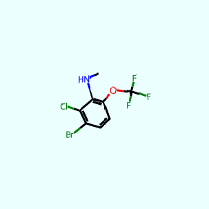 CNc1c(OC(F)(F)F)ccc(Br)c1Cl